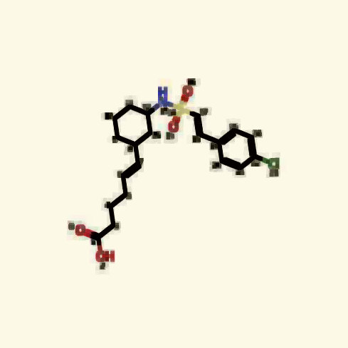 O=C(O)CCCC=CC1CCCC(NS(=O)(=O)C=Cc2ccc(Cl)cc2)C1